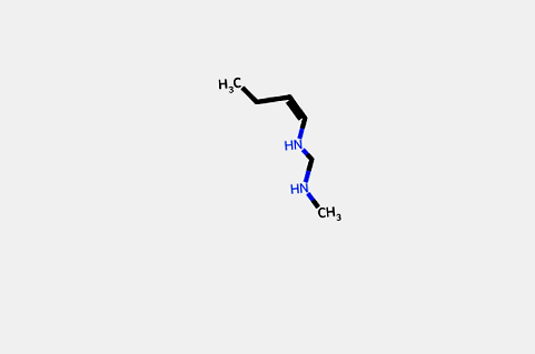 CC/C=C\NCNC